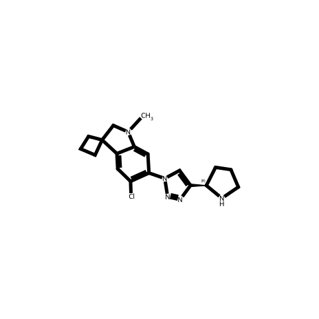 CN1CC2(CCC2)c2cc(Cl)c(-n3cc([C@H]4CCCN4)nn3)cc21